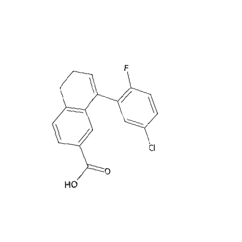 O=C(O)c1ccc2c(c1)C(c1cc(Cl)ccc1F)=CCC2